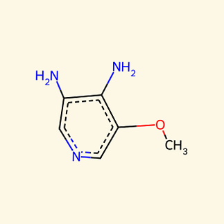 COc1cncc(N)c1N